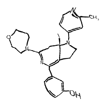 Cc1cc(N2CCC3=C(c4cccc(O)c4)N=C(N4CCOCC4)C[C@@]32I)ccn1